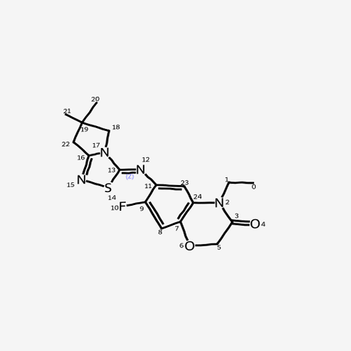 CCN1C(=O)COc2cc(F)c(/N=c3\snc4n3CC(C)(C)C4)cc21